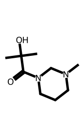 CN1CCCN(C(=O)C(C)(C)O)C1